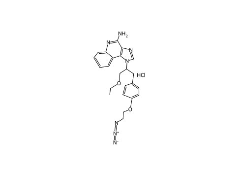 CCOCC(Cc1ccc(OCCN=[N+]=[N-])cc1)n1cnc2c(N)nc3ccccc3c21.Cl